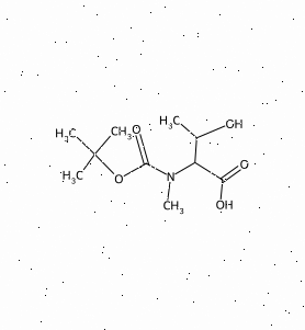 CC(O)C(C(=O)O)N(C)C(=O)OC(C)(C)C